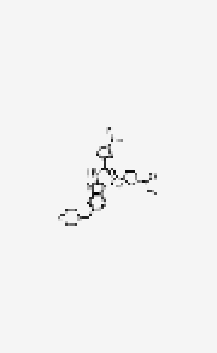 C=CC(=O)N1CC[C@]2(C1)C[C@H](n1c(NC(=O)c3ccc(C(F)F)s3)nc3cc(CN4CCOCC4)ccc31)C2